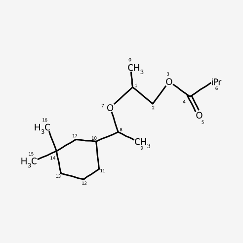 CC(COC(=O)C(C)C)OC(C)C1CCCC(C)(C)C1